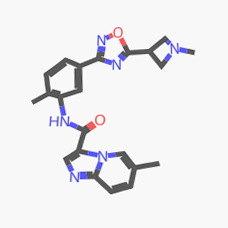 Cc1ccc2ncc(C(=O)Nc3cc(-c4noc(C5CN(C)C5)n4)ccc3C)n2c1